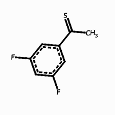 CC(=S)c1cc(F)cc(F)c1